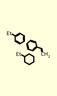 C=Cc1ccccc1.CCC1CCCCC1.CCc1ccccc1